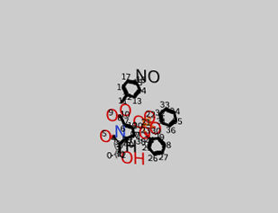 C[C@@H](O)[C@H]1C(=O)N2C(C(=O)OCc3ccc(N=O)cc3)=C(OP(=O)(Oc3ccccc3)Oc3ccccc3)[C@H](C)[C@H]12